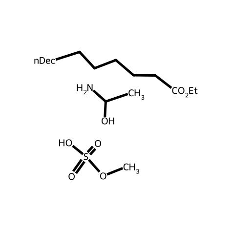 CC(N)O.CCCCCCCCCCCCCCCC(=O)OCC.COS(=O)(=O)O